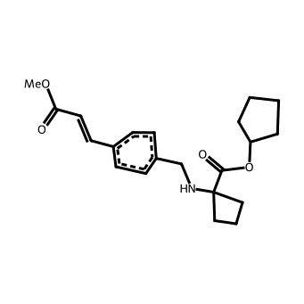 COC(=O)/C=C/c1ccc(CNC2(C(=O)OC3CCCC3)CCC2)cc1